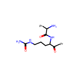 CC(C)C(=O)C(CCCNC(N)=O)NC(=O)C(N)C(C)C